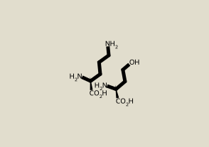 NCCC[C@H](N)C(=O)O.N[C@@H](CCO)C(=O)O